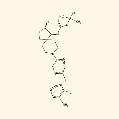 C[C@@H]1OCC2(CCN(c3cnc(Sc4cccc(N)c4Cl)cn3)CC2)[C@@H]1NC(=O)OC(C)(C)C